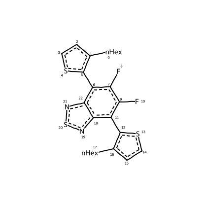 CCCCCCc1ccsc1-c1c(F)c(F)c(-c2sccc2CCCCCC)c2nsnc12